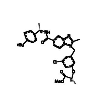 CCCCc1ccc([C@H](C)NC(=O)c2ccc3c(c2)nc(C)n3Cc2cc(Cl)cc(O[C@H](C)C(=O)OC)c2)cc1